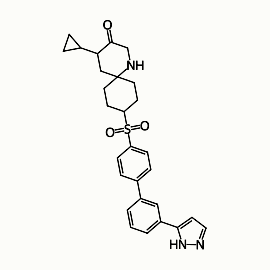 O=C1CNC2(CCC(S(=O)(=O)c3ccc(-c4cccc(-c5ccn[nH]5)c4)cc3)CC2)CC1C1CC1